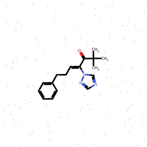 CC(C)(C)C(=O)C(=CCCc1ccccc1)n1cncn1